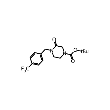 CC(C)(C)OC(=O)N1CCN(Cc2ccc(C(F)(F)F)cc2)C(=O)C1